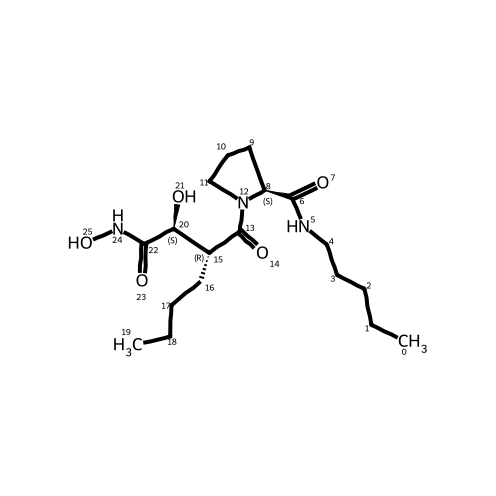 CCCCCNC(=O)[C@@H]1CCCN1C(=O)[C@H](CCCC)[C@H](O)C(=O)NO